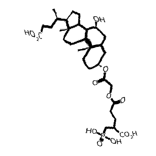 C[C@H](CCC(=O)O)[C@H]1CCC2C3C(CC[C@@]21C)[C@@]1(C)CC[C@@H](OC(=O)COC(=O)CCC(CP(=O)(O)O)C(=O)O)CC1C[C@@H]3O